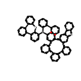 c1ccc(-c2ccccc2N(c2ccc3c(c2)c2ccccc2c2ccccc2c2ccccc2c2cc4sc5ccccc5c4cc32)c2cccc3c2Oc2ccccc2-c2ccccc2-3)cc1